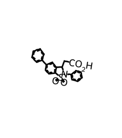 O=C(O)CC1c2cc(-c3ccccc3)ccc2S(=O)(=O)N1c1ccccc1